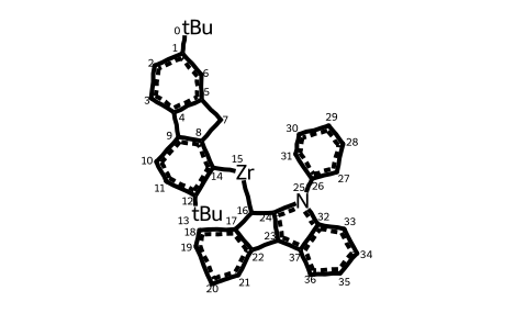 CC(C)(C)c1ccc2c(c1)Cc1c-2ccc(C(C)(C)C)[c]1[Zr][CH]1c2ccccc2-c2c1n(-c1ccccc1)c1ccccc21